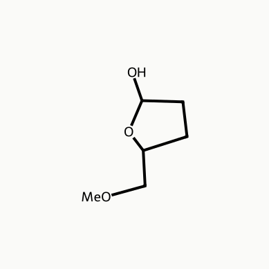 COCC1CCC(O)O1